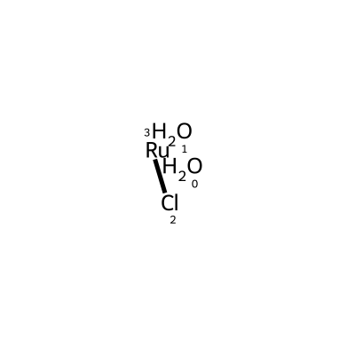 O.O.[Cl][Ru]